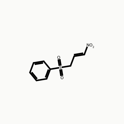 O=[N+]([O-])C=CCS(=O)(=O)c1ccccc1